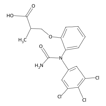 CC(COc1ccccc1N(C(N)=O)c1cc(Cl)c(Cl)c(Cl)c1)C(=O)O